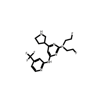 FCCN(CCF)c1nc(Nc2cc(C(F)(F)F)ccn2)cc(C2CCNC2)n1